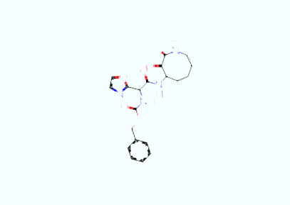 O=C(NC(C(=O)NC1CCCCNC(=O)C1=O)c1ncco1)OCc1ccccc1